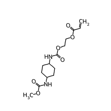 C=CC(=O)OCCOC(=O)NC1CCC(NC(=O)OC)CC1